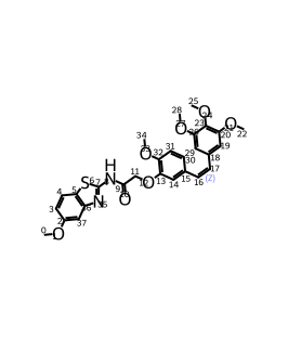 COc1ccc2sc(NC(=O)COc3cc(/C=C\c4cc(OC)c(OC)c(OC)c4)ccc3OC)nc2c1